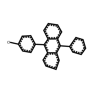 Clc1ccc(-c2c3ccccc3c(-c3ccccc3)c3ccccc23)cc1